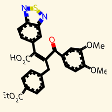 CCOC(=O)c1ccc(CC(C(=O)c2ccc(OC)c(OC)c2)=C(C(=O)O)c2ccc3nsnc3c2)cc1